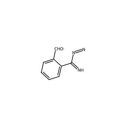 [N]=NC(=N)c1ccccc1[C]=O